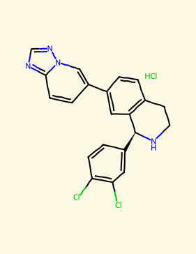 Cl.Clc1ccc([C@@H]2NCCc3ccc(-c4ccc5ncnn5c4)cc32)cc1Cl